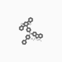 CC1(C)c2ccccc2-c2ccc(N(c3ccc(-c4ccccc4)cc3)c3ccc(-c4c5oc6ccccc6c5cc5oc6ccccc6c45)cc3)cc21